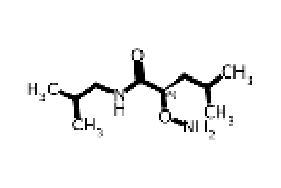 CC(C)CNC(=O)[C@@H](CC(C)C)ON